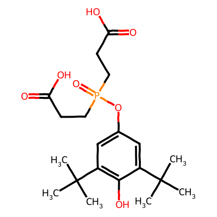 CC(C)(C)c1cc(OP(=O)(CCC(=O)O)CCC(=O)O)cc(C(C)(C)C)c1O